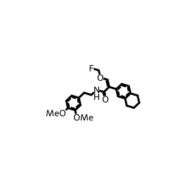 COc1ccc(CCNC(=O)/C(=C\OCF)c2ccc3c(c2)CCCC3)cc1OC